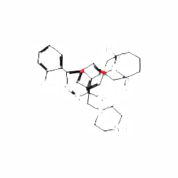 Nc1nnc(-c2ccccc2O)cc1N1C[C@H]2CCC[C@@H](C1)N2c1cccc(CN2CCNCC2)c1